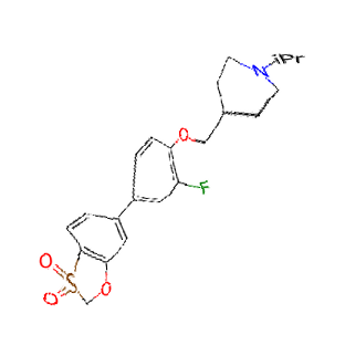 CC(C)N1CCC(COc2ccc(-c3ccc4c(c3)OCS4(=O)=O)cc2F)CC1